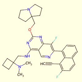 C#Cc1c(F)ccc2cccc(-c3ncc4c(NCC5(N(C)C)CCC5)nc(OCC56CCCN5CCC6)nc4c3F)c12